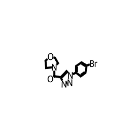 O=C(c1cn(-c2ccc(Br)cc2)nn1)N1CCOCC1